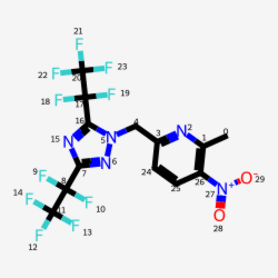 Cc1nc(Cn2nc(C(F)(F)C(F)(F)F)nc2C(F)(F)C(F)(F)F)ccc1[N+](=O)[O-]